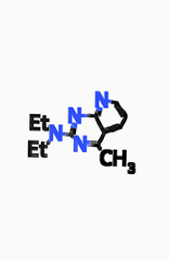 CCN(CC)c1nc(C)c2cccnc2n1